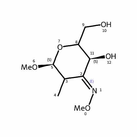 CO/N=C1\C(C)[C@@H](OC)OC(CO)[C@H]1O